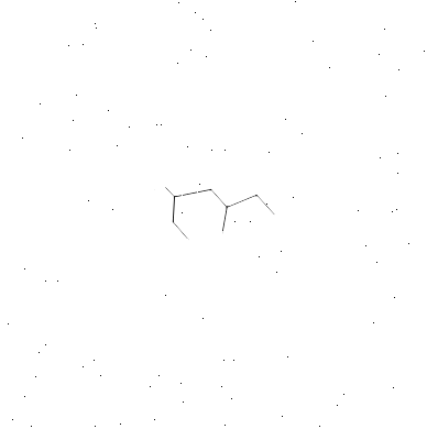 O=C(O)C(CO)CC(O)CO